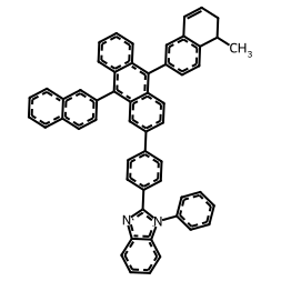 CC1CC=Cc2cc(-c3c4ccccc4c(-c4ccc5ccccc5c4)c4cc(-c5ccc(-c6nc7ccccc7n6-c6ccccc6)cc5)ccc34)ccc21